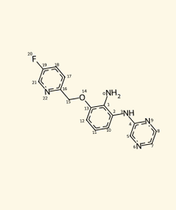 Nc1c(Nc2cnccn2)cccc1OCc1ccc(F)cn1